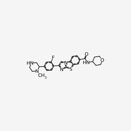 CN1CCNCC1c1ccc(-c2cn3c(n2)sc2cc(C(=O)NC4CCOCC4)ccc23)c(F)c1